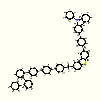 CC(C)(c1ccc(-c2ccc(-c3ccc(-c4ccccc4-c4ccccc4-c4ccccc4)cc3)cc2)cc1)c1ccc2sc3ccc(-c4ccc(-c5ccc6c(c5)c5ccccc5n6-c5ccccc5)cc4)cc3c2c1